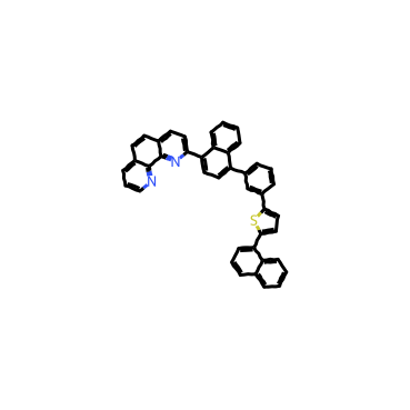 c1cc(-c2ccc(-c3cccc4ccccc34)s2)cc(-c2ccc(-c3ccc4ccc5cccnc5c4n3)c3ccccc23)c1